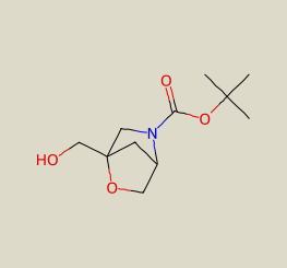 CC(C)(C)OC(=O)N1CC2(CO)CC1CO2